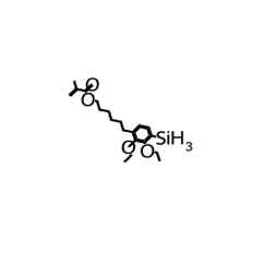 C=C(C)C(=O)OCCCCCCc1ccc([SiH3])c(OCC)c1OCC